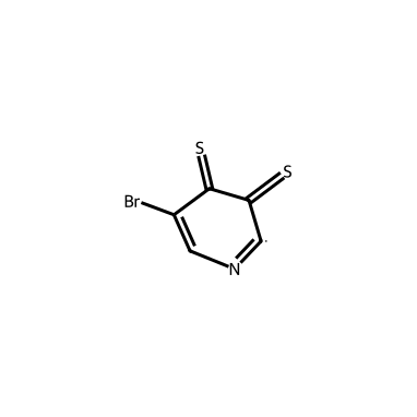 S=C1[C]=NC=C(Br)C1=S